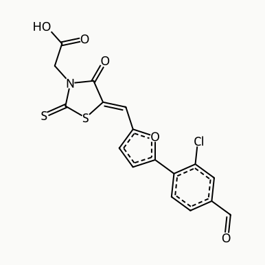 O=Cc1ccc(-c2ccc(/C=C3\SC(=S)N(CC(=O)O)C3=O)o2)c(Cl)c1